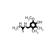 CNC(=S)NCc1cc(OC)c(O)c(C)c1C